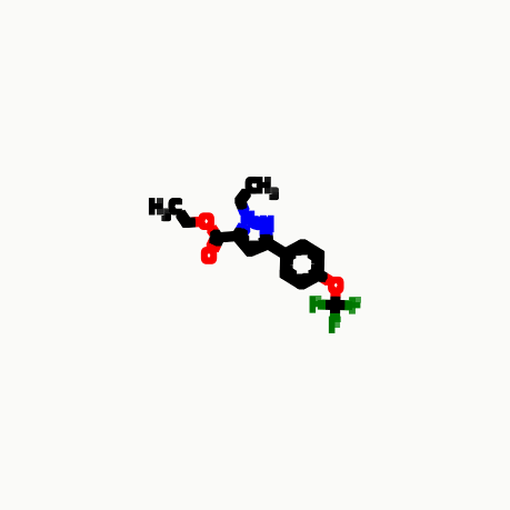 CCOC(=O)c1cc(-c2ccc(OC(F)(F)F)cc2)nn1CC